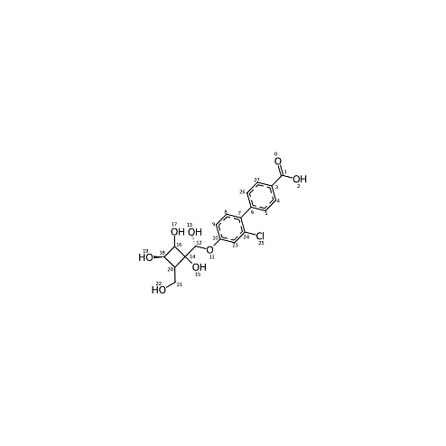 O=C(O)c1ccc(-c2ccc(O[C@@H](O)C3(O)C(O)[C@H](O)C3CO)cc2Cl)cc1